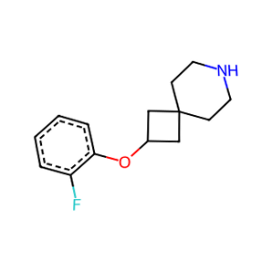 Fc1ccccc1OC1CC2(CCNCC2)C1